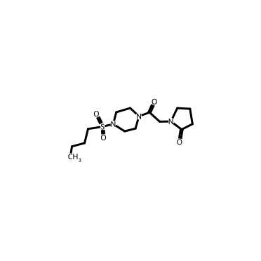 CCCCS(=O)(=O)N1CCN(C(=O)CN2CCCC2=O)CC1